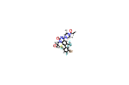 C=CC(=O)N1[C@H](C)CN(c2nc(=O)n3c4c(c(-c5cc(Br)c(F)cc5F)c(C(F)(F)F)cc24)SCC2(COC2)C3)C[C@@H]1C